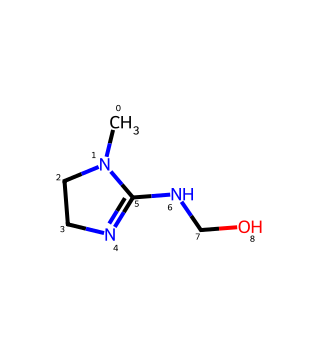 CN1CCN=C1NCO